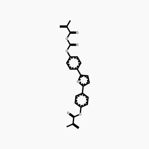 C=C(C)C(=O)OC(=O)Oc1ccc(-c2ccc(-c3ccc(OC(=O)C(=C)C)cc3)o2)cc1